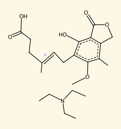 CCN(CC)CC.COc1c(C)c2c(c(O)c1C/C=C(\C)CCC(=O)O)C(=O)OC2